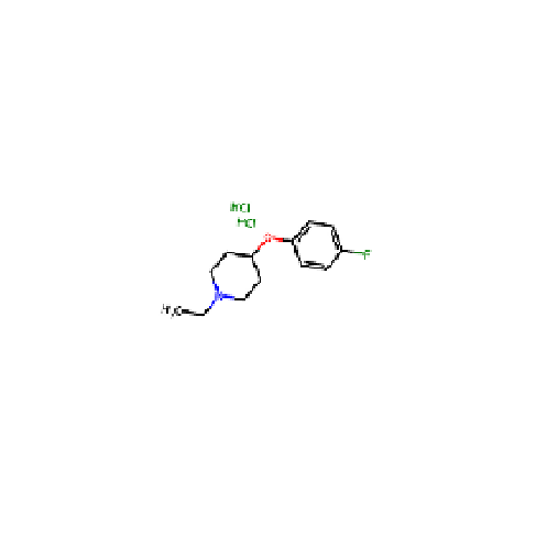 CCN1CCC(Oc2ccc(F)cc2)CC1.Cl.Cl